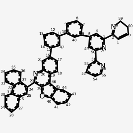 C1=CC(c2cc(-c3cccc(-c4cccc(-c5ccc6c(c5)nc(-c5cc7ccccc7c7ccccc57)c5oc7ccccc7c56)c4)c3)cc(-c3ccccn3)n2)=NCC1